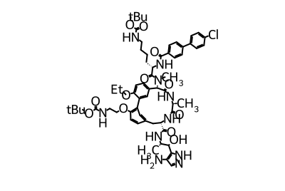 CCOc1ccc2cc1-c1cc(ccc1OCCNC(=O)OC(C)(C)C)C[C@@H](C(=O)N[C@@H](C)C(O)c1[nH]ncc1N)NC(=O)[C@H](C)NC(=O)[C@H]2N(C)C(=O)[C@H](CCCCNC(=O)OC(C)(C)C)NC(=O)c1ccc(-c2ccc(Cl)cc2)cc1